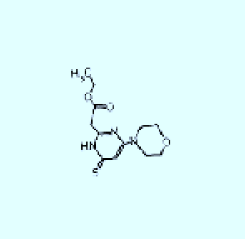 CCOC(=O)Cc1nc(N2CCOCC2)cc(=S)[nH]1